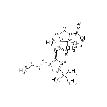 CCCCc1cn(C(C)(C)C)s/c1=N\C(=O)[C@@]1(C)CC[C@@H](C(=O)O)C1(C)C